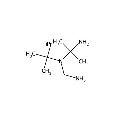 CC(C)C(C)(C)N(CN)C(C)(C)N